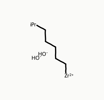 CC(C)CCCC[CH2][Zr+2].[OH-].[OH-]